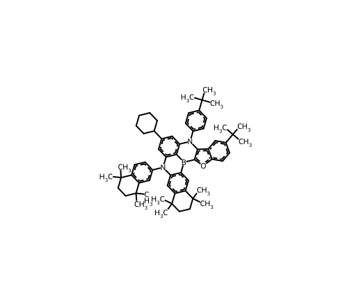 CC(C)(C)c1ccc(N2c3cc(C4CCCCC4)cc4c3B(c3cc5c(cc3N4c3ccc4c(c3)C(C)(C)CCC4(C)C)C(C)(C)CCC5(C)C)c3oc4ccc(C(C)(C)C)cc4c32)cc1